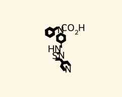 O=C(O)N(Cc1ccccc1)[C@H]1CC[C@H](CNc2nc(-c3ccncc3)cs2)CC1